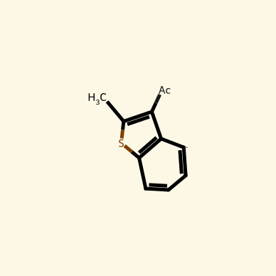 CC(=O)c1c(C)sc2ccc[c]c12